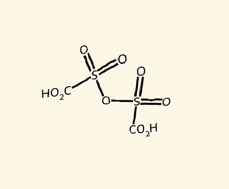 O=C(O)S(=O)(=O)OS(=O)(=O)C(=O)O